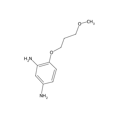 COCCCOc1ccc(N)cc1N